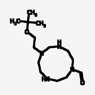 CC(C)(C)OCCN1CCNCCN(C=O)CCNC1